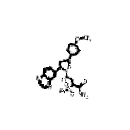 CC(C)S(=O)(=O)C(CC(=O)N1N=C(c2ccc(OC(F)(F)F)cc2)CC1c1ccc2nccnc2c1)C(N)=O